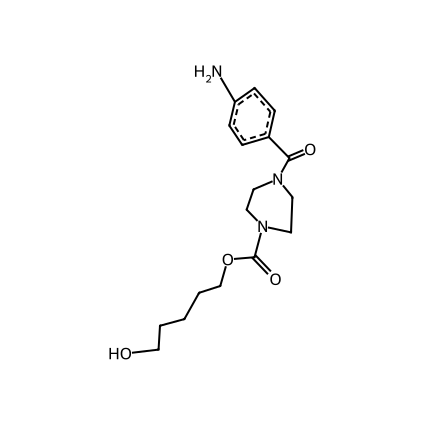 Nc1ccc(C(=O)N2CCN(C(=O)OCCCCCO)CC2)cc1